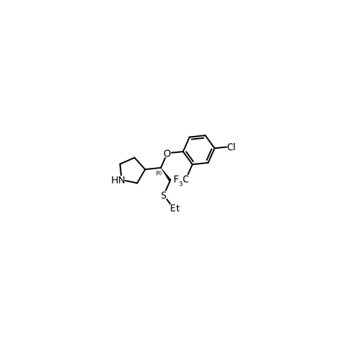 CCSC[C@H](Oc1ccc(Cl)cc1C(F)(F)F)C1CCNC1